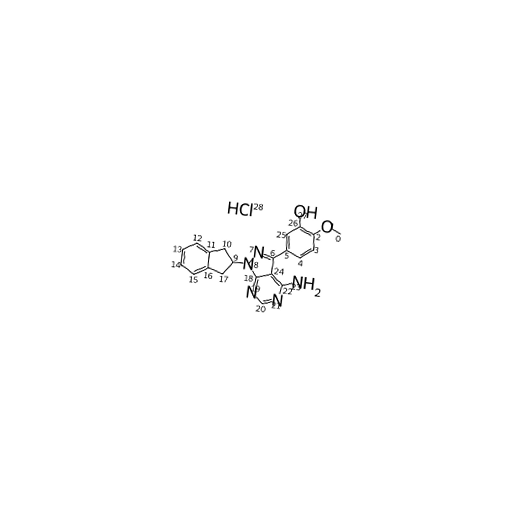 COc1ccc(-c2nn(C3Cc4ccccc4C3)c3ncnc(N)c23)cc1O.Cl